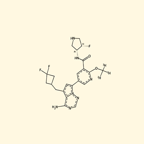 [2H]C([2H])([2H])Oc1ncc(-c2cc(CC3CC(F)(F)C3)c3c(N)ncnn23)cc1C(=O)N[C@@H]1CNC[C@@H]1F